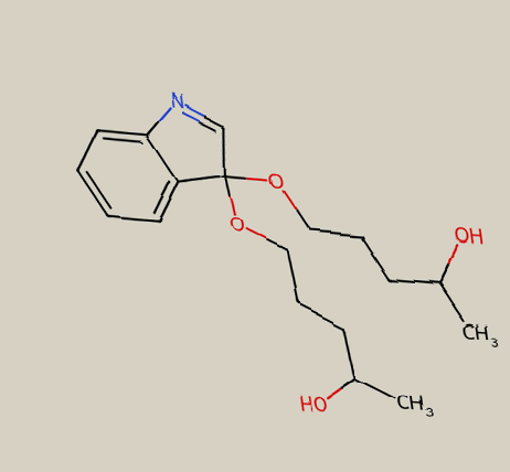 CC(O)CCCOC1(OCCCC(C)O)C=Nc2ccccc21